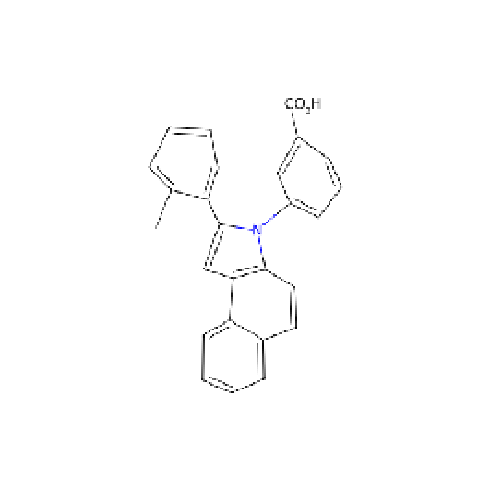 Cc1ccccc1-c1cc2c3ccccc3ccc2n1-c1cccc(C(=O)O)c1